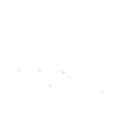 Cc1ccc(Nc2cc(Cl)nc(NN=Cc3c[nH]c4ccccc34)n2)cc1